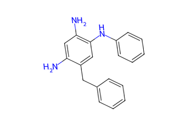 Nc1cc(N)c(Nc2ccccc2)cc1Cc1ccccc1